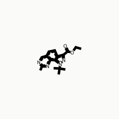 CCOC(=O)c1nn(C(C)(C)C)c2c1ccc1cnc(C)nc12